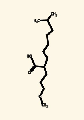 COCCCC(CCCCCC(C)C)C(=O)O